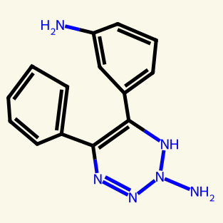 Nc1cccc(C2=C(c3ccccc3)N=NN(N)N2)c1